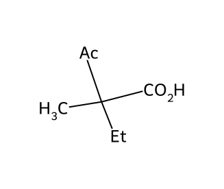 CCC(C)(C(C)=O)C(=O)O